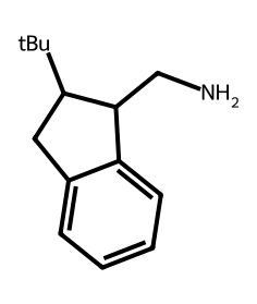 CC(C)(C)C1Cc2ccccc2C1CN